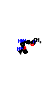 CN1CCOC(c2ccc(-c3n[nH]c4ccc(C(=O)NC(c5ccccc5)C5CC5)cc34)cc2)C1